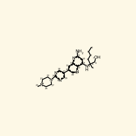 CCCCC(C)(CO)Nc1cc(N)nc2cc(-c3cnc(N4CCN(C)CC4)nc3)cnc12